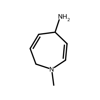 CN1C=CC(N)C=CC1